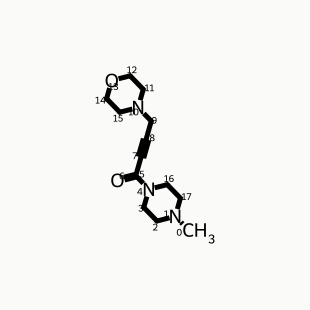 CN1CCN(C(=O)C#CCN2CCOCC2)CC1